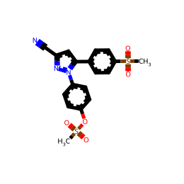 CS(=O)(=O)Oc1ccc(-n2nc(C#N)cc2-c2ccc(S(C)(=O)=O)cc2)cc1